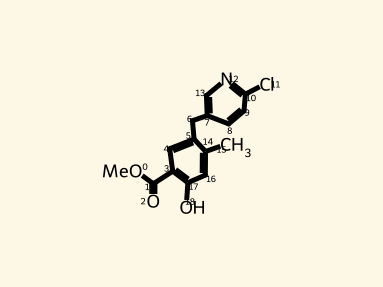 COC(=O)c1cc(Cc2ccc(Cl)nc2)c(C)cc1O